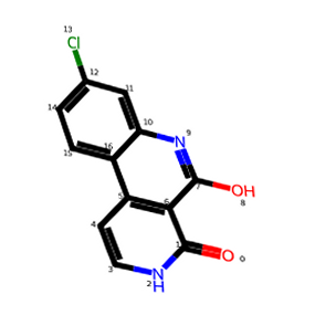 O=c1[nH]ccc2c1c(O)nc1cc(Cl)ccc12